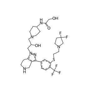 O=C(CO)NC1CCN(CC(O)Cn2nc(-c3ccc(C(F)(F)F)c(SCCN4CCC(F)(F)C4)c3)c3c2CCNC3)CC1